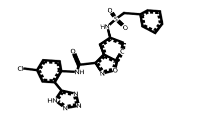 O=C(Nc1ccc(Cl)cc1-c1nnn[nH]1)c1noc2ccc(NS(=O)(=O)Cc3ccccc3)cc12